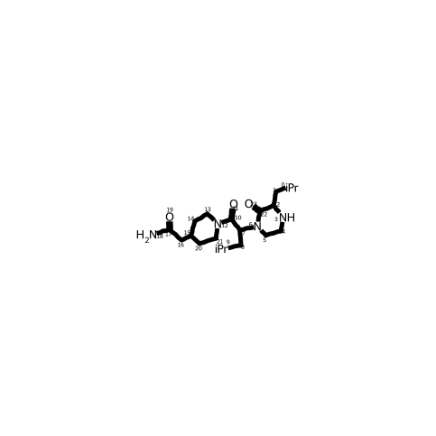 CC(C)CC1NCCN(C(CC(C)C)C(=O)N2CCC(CC(N)=O)CC2)C1=O